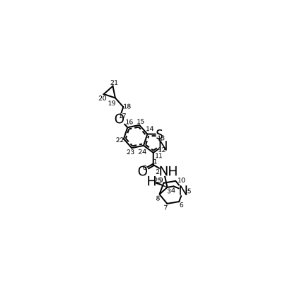 O=C(N[C@@H]1CN2CCC1CC2)c1nsc2cc(OCC3CC3)ccc12